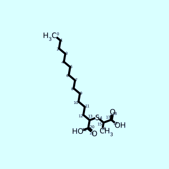 CCCCCCCCCCCCCC(SC(C)C(=O)O)C(=O)O